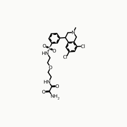 CN1Cc2c(Cl)cc(Cl)cc2C(c2cccc(S(=O)(=O)NCCOCCNC(=O)C(N)=O)c2)C1